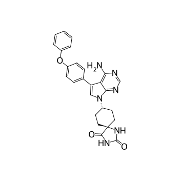 Nc1ncnc2c1c(-c1ccc(Oc3ccccc3)cc1)cn2[C@H]1CC[C@@]2(CC1)NC(=O)NC2=O